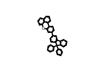 c1ccc(C2(c3ccccc3)c3ccccc3-c3cc(-c4ccc5c(c4)Oc4cccc6cccc-5c46)ccc32)cc1